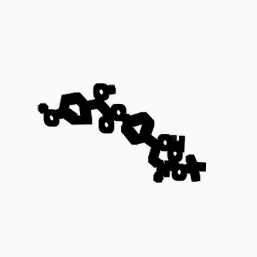 COc1ccc(C(OC)C(=O)Oc2ccc(C(O)CN(C)C(=O)OC(C)(C)C)cc2)cc1